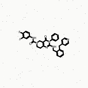 O=C(Nc1ccc(F)c(F)c1)N1CCc2nc(NCc3ccccc3Cc3ccncc3)n(-c3ccccc3)c(=O)c2C1